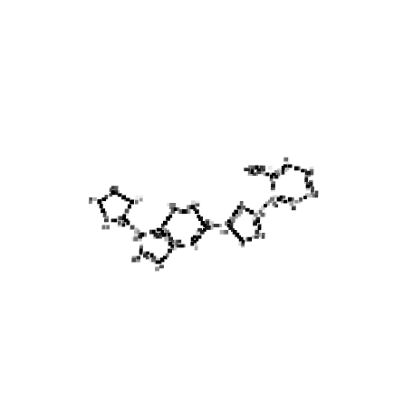 Oc1ccccc1C1=CCC(c2ccc3c(c2)C=CC3C2CCCC2)=C1